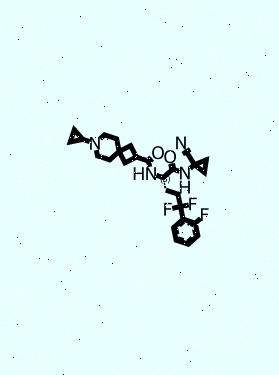 N#CC1(NC(=O)[C@H](CCC(F)(F)c2ccccc2F)NC(=O)C2CC3(CCN(C4CC4)CC3)C2)CC1